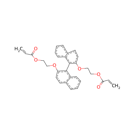 C=CC(=O)OCCOc1ccc2ccccc2c1-c1c(OCCOC(=O)C=C)ccc2ccccc12